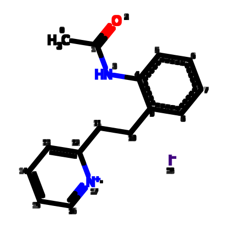 CC(=O)Nc1ccccc1CCC1=CC=CC=[N+]1.[I-]